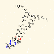 CCCCC/C=C\C/C=C\CCCCCCCCC1(CCCCCCCC/C=C\C/C=C\CCCCC)O[C@H]2CN(Cc3cnc[nH]3)C[C@@H]2O1